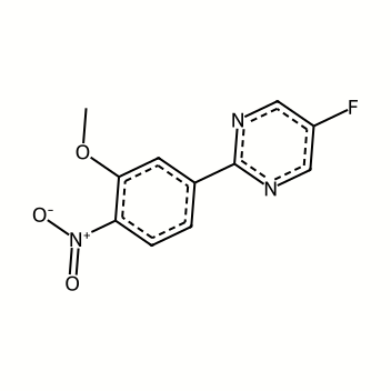 COc1cc(-c2ncc(F)cn2)ccc1[N+](=O)[O-]